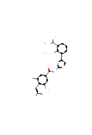 CCCCCC(OCC)c1cccc(-c2csc(NC(=O)c3cc(Cl)c(C=C(C)C(=O)O)c(Cl)c3)n2)c1OC